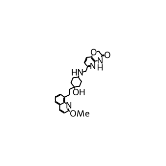 COc1ccc2cccc(CCC3(O)CCC(NCc4ccc5c(n4)NC(=O)CO5)CC3)c2n1